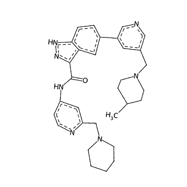 CC1CCN(Cc2cncc(-c3ccc4[nH]nc(C(=O)Nc5ccnc(CN6CCCCC6)c5)c4c3)c2)CC1